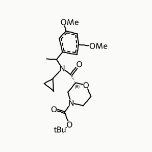 COc1cc(OC)cc(C(C)N(C(=O)[C@H]2CN(C(=O)OC(C)(C)C)CCO2)C2CC2)c1